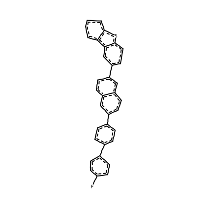 Fc1ccc(-c2ccc(-c3ccc4cc(-c5ccc6sc7ccccc7c6c5)ccc4c3)cc2)cc1